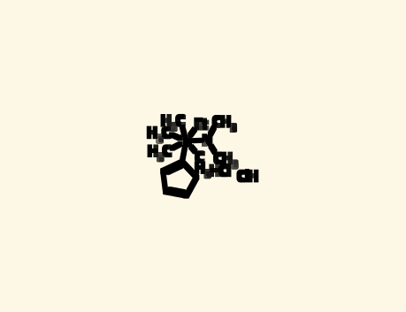 C[CH2][Ti]([CH3])([CH3])([CH3])([CH3])([C]1=CC=CC1)[N](C)C.Cl.Cl